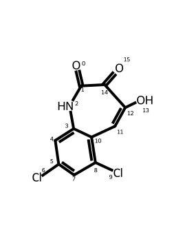 O=c1[nH]c2cc(Cl)cc(Cl)c2cc(O)c1=O